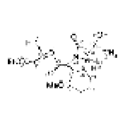 CCOC(=O)O[C@@H](C)OC(=O)C1=C2[C@@H](OC)CCC[C@@H]2[C@@H]2[C@@H]([C@@H](C)O)C(=O)N12